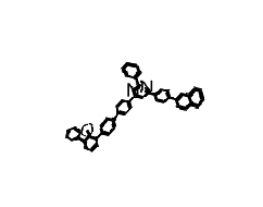 c1ccc(-c2nc(-c3ccc(-c4ccc(-c5cccc6c5oc5ccccc56)cc4)cc3)cc(-c3ccc(-c4ccc5ccccc5c4)cc3)n2)cc1